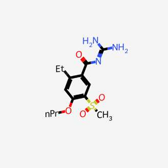 CCCOc1cc(CC)c(C(=O)N=C(N)N)cc1S(C)(=O)=O